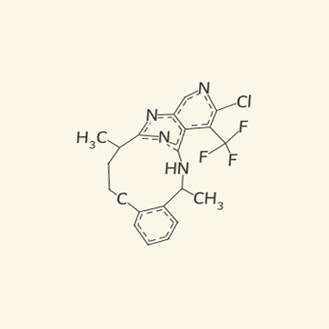 CC1CCCc2ccccc2C(C)Nc2nc1nc1cnc(Cl)c(C(F)(F)F)c21